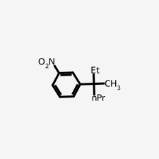 CCCC(C)(CC)c1cccc([N+](=O)[O-])c1